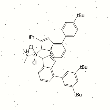 CC1=Cc2c(-c3cc(C(C)(C)C)cc(C(C)(C)C)c3)cccc2[CH]1[Zr]([Cl])([Cl])([CH]1C(C(C)C)=Cc2c(-c3ccc(C(C)(C)C)cc3)cccc21)[SiH](C)C